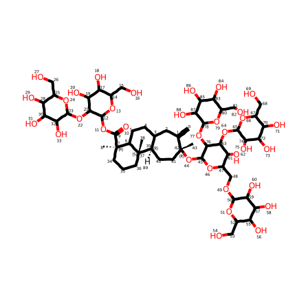 C=C1CC2CCC3[C@](C)(C(=O)OC4OC(CO)C(O)C(O)C4OC4OC(CO)C(O)C(O)C4O)CCC[C@@]3(C)[C@@H]2CC[C@@]1(C)OC1OC(COC2OC(CO)C(O)C(O)C2O)C(O)C(OC2OC(CO)C(O)C(O)C2O)C1OC1OC(CO)C(O)C(O)C1O